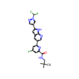 CC(C)(C#N)CNC(=O)c1cc(F)cc(-c2cnc3[nH]c(-c4cnn(C(F)F)c4)cc3c2)n1